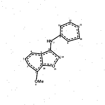 COc1cccc2c(Nc3ccncc3)noc12